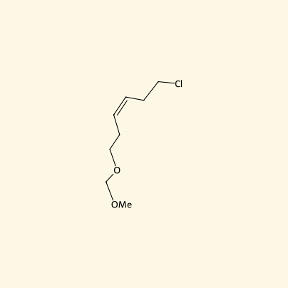 COCOCC/C=C\CCCl